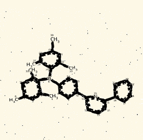 Cc1cc(C)c(B(c2ccc(-c3cccc(-c4ccccc4)n3)cc2)c2c(C)cc(C)cc2C)c(C)c1